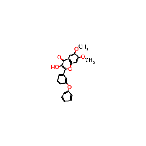 COc1cc2oc(-c3cccc(Oc4ccccc4)c3)c(O)c(=O)c2cc1OC